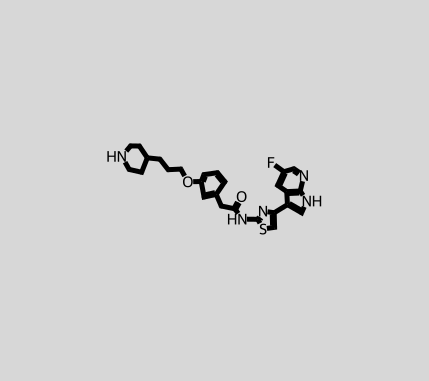 O=C(Cc1cccc(OCCCC2CCNCC2)c1)Nc1nc(-c2c[nH]c3ncc(F)cc23)cs1